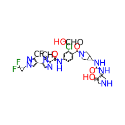 Cn1c(-c2cn(C3CC3(F)F)nc2C(F)(F)F)cnc1C(=O)Nc1ccc(C(=O)N2CC3C(C2)C3NC(=O)N[C@@H]2CNC[C@H]2O)c(Cl)c1.O=CO